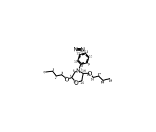 CCCCOC1CN(c2ccccc2)C(OCCCC)CO1.N#N